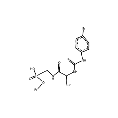 CCCC(NC(=O)Nc1ccc(Br)cc1)C(=O)NCP(=O)(O)OC(C)C